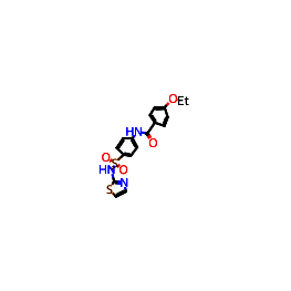 CCOc1ccc(C(=O)Nc2ccc(S(=O)(=O)Nc3nccs3)cc2)cc1